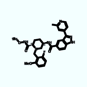 COc1cccc(F)c1CN1C[C@H](NC(=O)c2ccc3[nH]nc(-c4ccnc(C)c4)c3c2)CC[C@H]1C(=O)NOC(C)(C)C